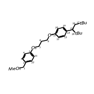 COCc1ccc(OCCCOc2ccc(C(CC(C)(C)C)C(C)(C)C)cc2)cc1